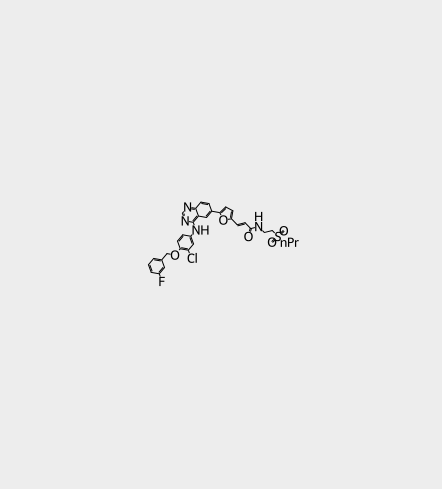 CCCS(=O)(=O)CCNC(=O)/C=C/c1ccc(-c2ccc3ncnc(Nc4ccc(OCc5cccc(F)c5)c(Cl)c4)c3c2)o1